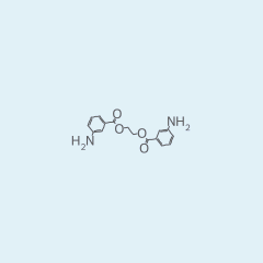 Nc1cccc(C(=O)OCCOC(=O)c2cccc(N)c2)c1